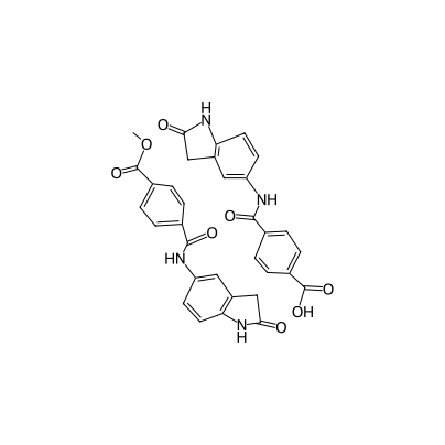 COC(=O)c1ccc(C(=O)Nc2ccc3c(c2)CC(=O)N3)cc1.O=C1Cc2cc(NC(=O)c3ccc(C(=O)O)cc3)ccc2N1